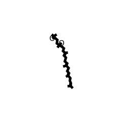 CC(C)=CCC/C(C)=C/CC/C(C)=C/CC/C=C(\C)CCC1OC1(C)CCC1OC1(C)C